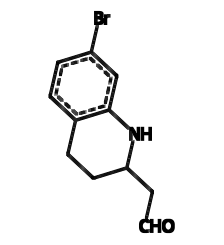 O=CCC1CCc2ccc(Br)cc2N1